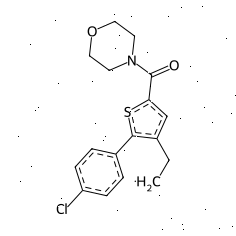 [CH2]Cc1cc(C(=O)N2CCOCC2)sc1-c1ccc(Cl)cc1